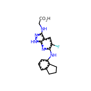 O=C(O)CNc1n[nH]c2nc(Nc3cccc4c3CCC4)c(F)cc12